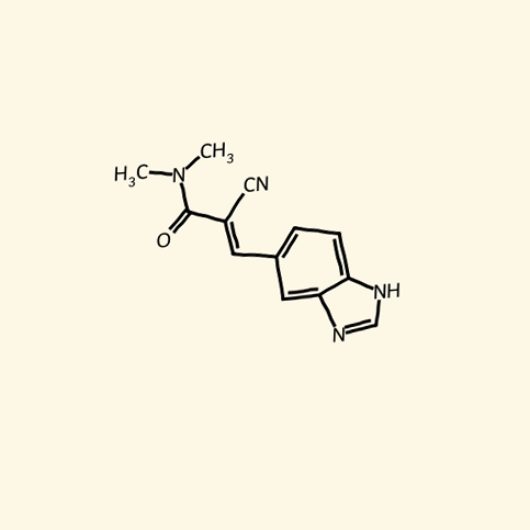 CN(C)C(=O)/C(C#N)=C/c1ccc2[nH]cnc2c1